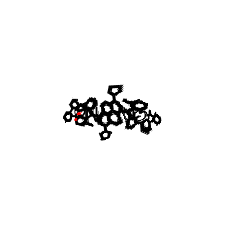 Cc1cccc(C)c1N(c1cccc(-c2cccc(-c3ccccc3C(C)C)c2)c1O)c1cc(C2CCCC2)c2ccc3c(N(c4c(C)cccc4C)c4cccc5c4oc4c(-c6ccccc6C(C)C)cccc45)cc(C4CCCC4)c4ccc1c2c43